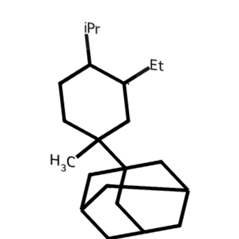 CC[C]1CC(C)(C23CC4CC(CC(C4)C2)C3)CCC1C(C)C